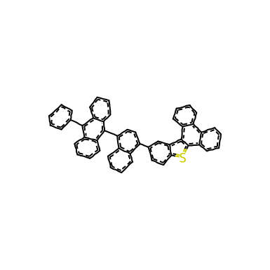 c1ccc(-c2c3ccccc3c(-c3ccc(-c4ccc5sc6c7ccccc7c7ccccc7c6c5c4)c4ccccc34)c3ccccc23)cc1